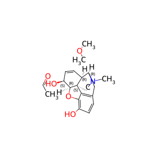 CC=O.CN1CC[C@]23c4c5ccc(O)c4O[C@H]2[C@@H](O)C=C[C@H]3[C@H]1C5.COC